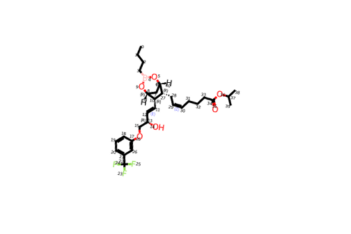 CCCCB1O[C@H]2C[C@@H](O1)[C@H](/C=C/[C@@H](O)COc1cccc(C(F)(F)F)c1)[C@H]2C/C=C\CCCC(=O)OC(C)C